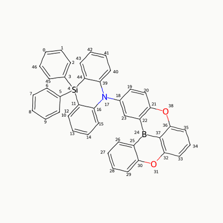 c1ccc([Si]2(c3ccccc3)c3ccccc3N(c3ccc4c(c3)B3c5ccccc5Oc5cccc(c53)O4)c3ccccc32)cc1